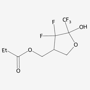 CCC(=O)OCC1COC(O)(C(F)(F)F)C1(F)F